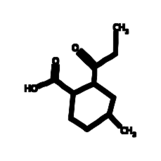 CCC(=O)C1CC(C)CCC1C(=O)O